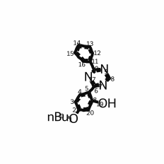 CCCCOc1ccc(-c2ncnc(-c3ccccc3)n2)c(O)c1